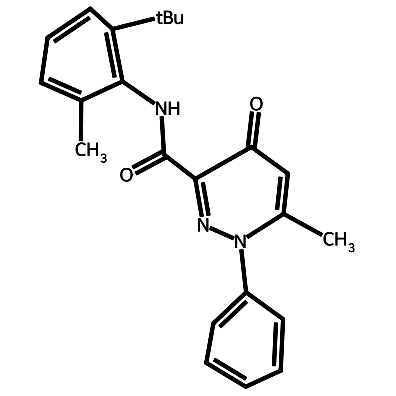 Cc1cccc(C(C)(C)C)c1NC(=O)c1nn(-c2ccccc2)c(C)cc1=O